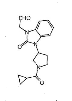 O=CCn1c(=O)n(C2CCN(C(=O)C3CC3)C2)c2ccccc21